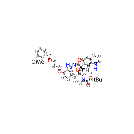 COc1ccccc1COCCCOc1ccc(C2CCN(C(=O)OC(C)(C)C)CC2OC(C)(C(N)=O)c2ccc3c(c2)NCCC3)cc1